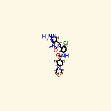 CN1C(=O)N(c2cc(NC(=O)c3ccc(N4CCOCC4)cc3)ccc2Cl)Cc2cnc(N)nc21